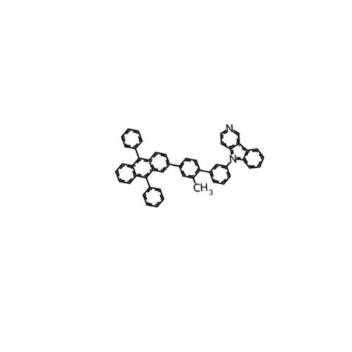 Cc1cc(-c2ccc3c(-c4ccccc4)c4ccccc4c(-c4ccccc4)c3c2)ccc1-c1cccc(-n2c3ccccc3c3cnccc32)c1